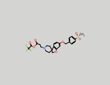 CS(=O)(=O)c1ccc(COc2ccc3c(c2)OCC32CCN(CCC(=O)OC(=O)C(F)(F)F)CC2)cc1